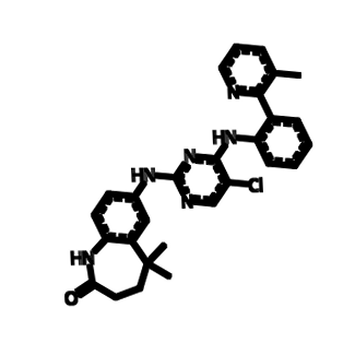 Cc1cccnc1-c1ccccc1Nc1nc(Nc2ccc3c(c2)C(C)(C)CCC(=O)N3)ncc1Cl